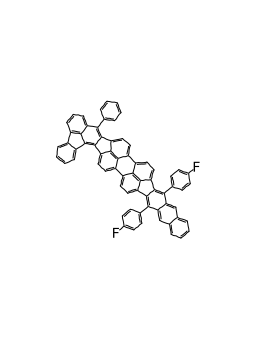 Fc1ccc(-c2c3c(c(-c4ccc(F)cc4)c4cc5ccccc5cc24)-c2ccc4c5ccc6c7c(ccc(c8ccc-3c2c84)c57)c2c(-c3ccccc3)c3cccc4c5ccccc5c(c34)c62)cc1